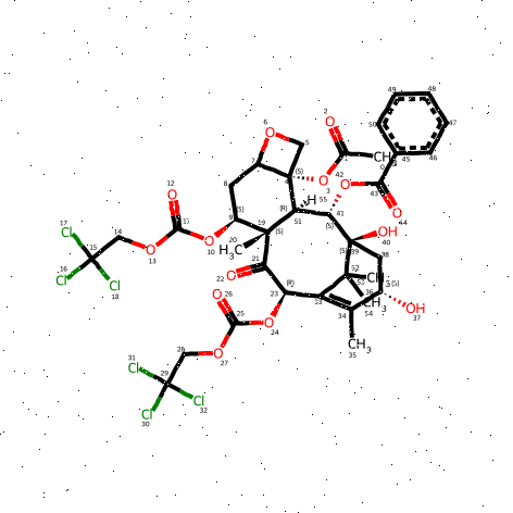 CC(=O)O[C@@]12COC1C[C@H](OC(=O)OCC(Cl)(Cl)Cl)[C@@]1(C)C(=O)[C@H](OC(=O)OCC(Cl)(Cl)Cl)C3=C(C)[C@@H](O)C[C@@](O)([C@@H](OC(=O)c4ccccc4)[C@@H]12)C3(C)C